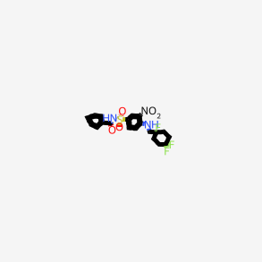 O=C(NS(=O)(=O)c1ccc(NCC2(F)CCC(F)(F)CC2)c([N+](=O)[O-])c1)c1ccccc1